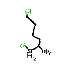 CCCC(CCCCCl)[SiH2]Cl